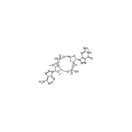 CC[C@@]12COP(=O)(S)O[C@@H]3C[C@@H](COP(=O)(S)O[C@H]1[C@@H](OC)[C@H](n1nnc4c(N)ncnc41)O2)O[C@H]3n1nnc2c(=O)[nH]c(N)nc21